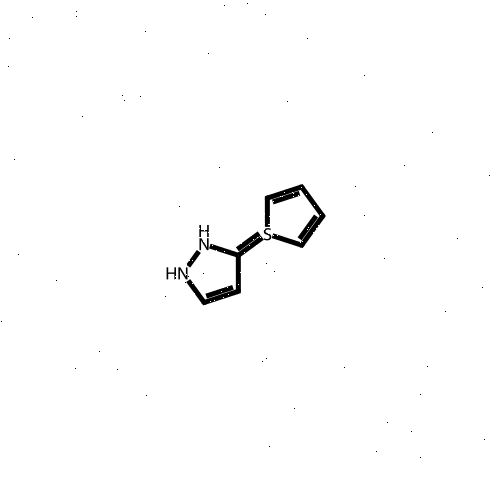 C1=CS(=c2cc[nH][nH]2)C=C1